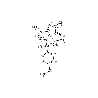 COc1ccc(S(=O)(=O)N(C)C(C(=O)NO)(C(=O)N(C)C)C(C)C)cc1